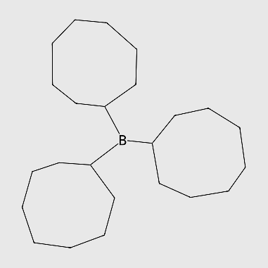 C1CCCC(B(C2CCCCCCC2)C2CCCCCCC2)CCC1